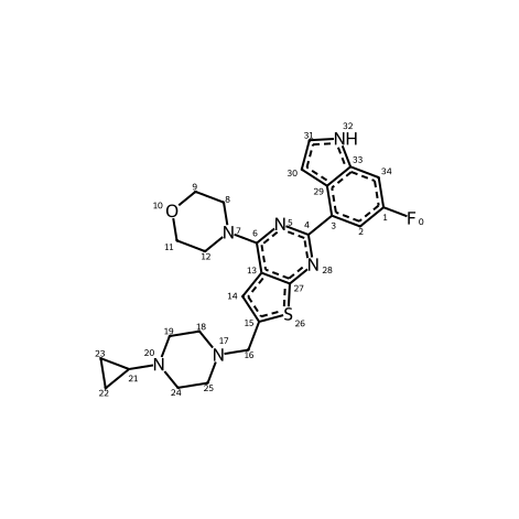 Fc1cc(-c2nc(N3CCOCC3)c3cc(CN4CCN(C5CC5)CC4)sc3n2)c2cc[nH]c2c1